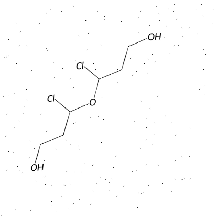 OCCC(Cl)OC(Cl)CCO